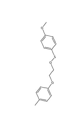 COc1ccc(SOCCOc2ccc(C)cc2)cc1